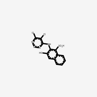 O=S(=O)(O)c1c(Nc2nnnc(Cl)c2Cl)c(O)cc2ccccc12